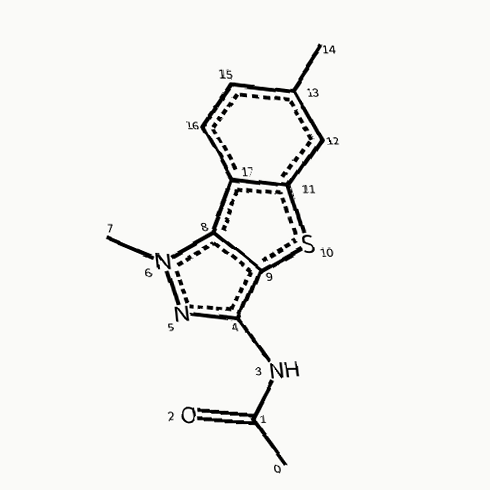 CC(=O)Nc1nn(C)c2c1sc1cc(C)ccc12